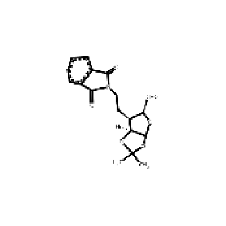 CC1(C)OC2O[C@H](C=O)[C@H](CCN3C(=O)c4ccccc4C3=O)[C@@H]2O1